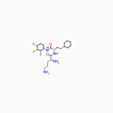 NCCC[C@H](N)C(=O)N[C@H](CCc1ccccc1)C(=O)Nc1ccc(F)c(F)c1F